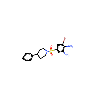 Nc1cc(S(=O)(=O)N2CCC(c3ccccc3)CC2)cc(Br)c1N